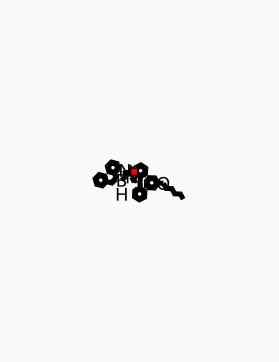 CCCCCOc1ccc([Si](Cn2ccnc2BC(=Cc2ccccc2)c2ccccc2)(c2ccccc2)c2ccccc2)cc1